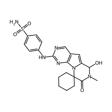 CN1C(=O)C2(CCCCC2)n2c(cc3cnc(Nc4ccc(S(N)(=O)=O)cc4)nc32)C1O